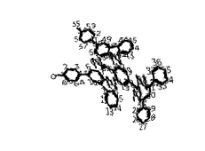 Cc1ccc(-c2ccc3c(c2)c2ccccc2n3-c2cc(-c3nc(-c4ccccc4)cc(-c4ccccc4)n3)cc(-n3c4ccccc4c4cc(-c5ccc(C)cc5)ccc43)c2C#N)cc1